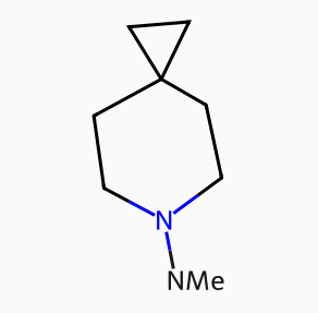 CNN1CCC2(CC1)CC2